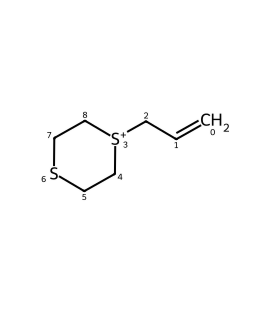 C=CC[S+]1CCSCC1